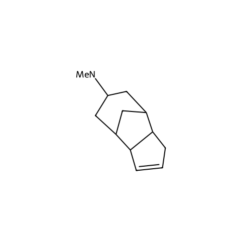 CNC1CC2CC(C1)C1CC=CC21